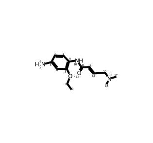 CCOc1cc(N)ccc1NC(=O)/C=C/CN(C)C